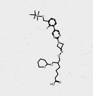 CC(C)(C)[Si](C)(C)OCc1cccc(-c2cnc(N3CC(=NOCC(CCCCC(=O)O)COC4CCCCO4)C3)nc2)c1F